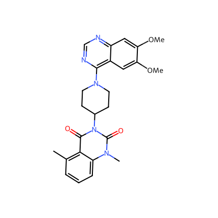 COc1cc2ncnc(N3CCC(n4c(=O)c5c(C)cccc5n(C)c4=O)CC3)c2cc1OC